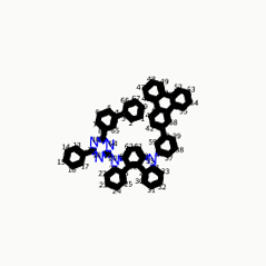 c1ccc(-c2cccc(-c3nc(-c4ccccc4)nc(-n4c5ccccc5c5c6c7ccccc7n(-c7cccc(-c8ccc9c%10ccccc%10c%10ccccc%10c9c8)c7)c6ccc54)n3)c2)cc1